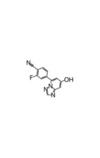 N#Cc1ccc(-c2cc(O)cc3ncnn23)cc1F